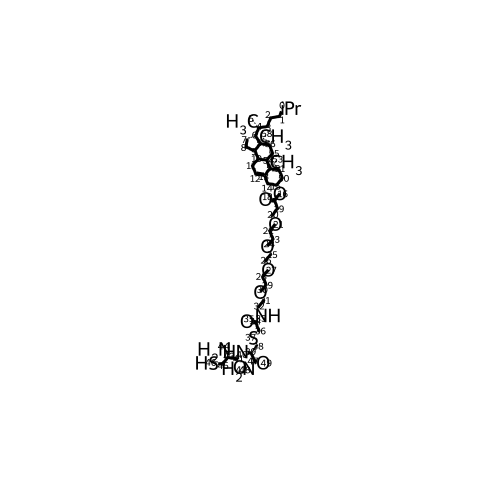 CC(C)CCC[C@@H](C)[C@H]1CCC2C3CC=C4CC(OC(=O)CCOCCOCCOCCOCCNC(=O)CSC[C@H](NC(=O)[C@@H](N)CS)C(N)=O)CC[C@]4(C)C3CC[C@@]21C